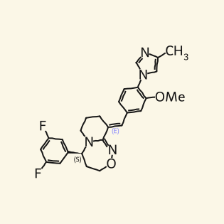 COc1cc(/C=C2\CCCN3C2=NOCC[C@H]3c2cc(F)cc(F)c2)ccc1-n1cnc(C)c1